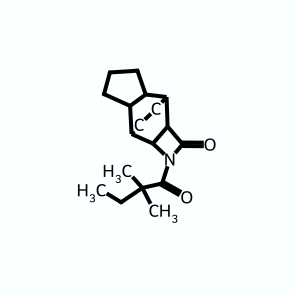 CCC(C)(C)C(=O)N1C(=O)C2C3CCC(C4CCCC43)C21